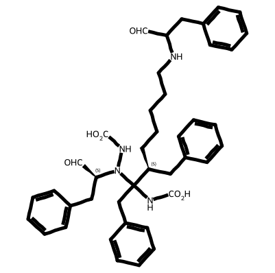 O=CC(Cc1ccccc1)NCCCCC[C@@H](Cc1ccccc1)C(Cc1ccccc1)(NC(=O)O)N(NC(=O)O)[C@H](C=O)Cc1ccccc1